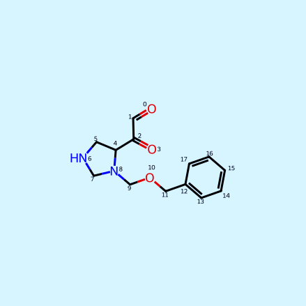 O=CC(=O)C1CNCN1COCc1ccccc1